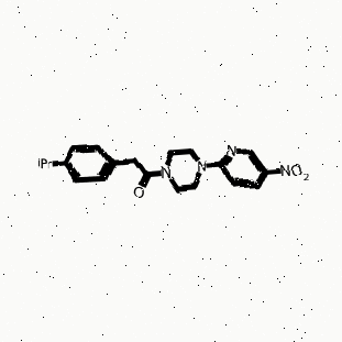 CC(C)c1ccc(CC(=O)N2CCN(c3ccc([N+](=O)[O-])cn3)CC2)cc1